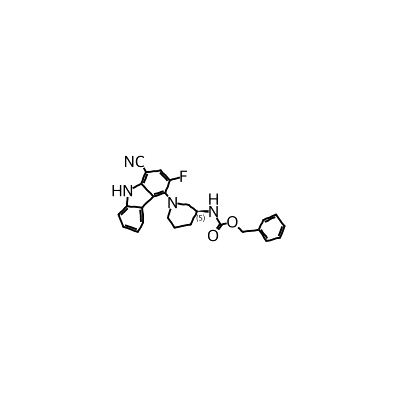 N#Cc1cc(F)c(N2CCC[C@H](NC(=O)OCc3ccccc3)C2)c2c1[nH]c1ccccc12